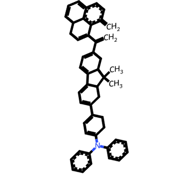 C=C(C1=CC=C2C3=CC=C(C4=CC=C(N(c5ccccc5)c5ccccc5)CC4)CC3C(C)(C)C2C1)C1=CCC2C=CC=c3ccc(=C)c1c32